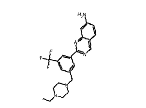 CCN1CCN(Cc2cc(-c3ncc4ccc(N)cc4n3)cc(C(F)(F)F)c2)CC1